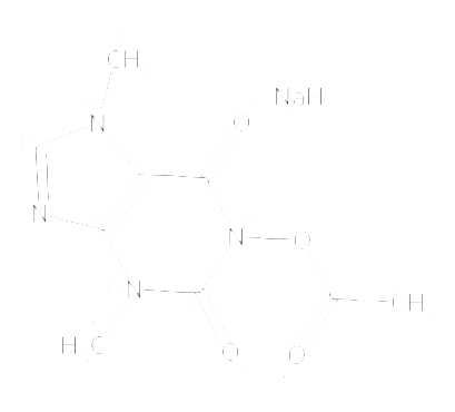 CC(=O)On1c(=O)c2c(ncn2C)n(C)c1=O.[NaH]